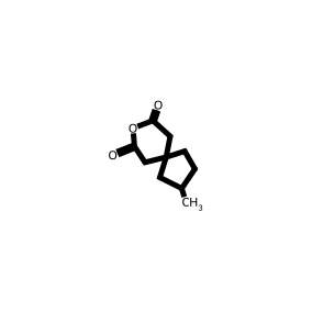 CC1CCC2(CC(=O)OC(=O)C2)C1